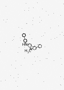 CN1C2CC=C(C3=CCCC=C3)C=C2C2=CC=C(Nc3ccc(-c4ccccc4)cc3)CC21